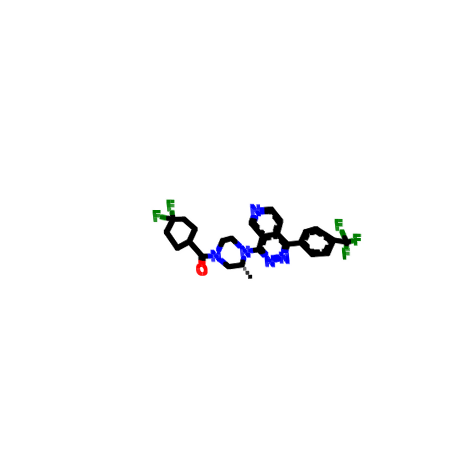 C[C@@H]1CN(C(=O)C2CCC(F)(F)CC2)CCN1c1nnc(-c2ccc(C(F)(F)F)cc2)c2ccncc12